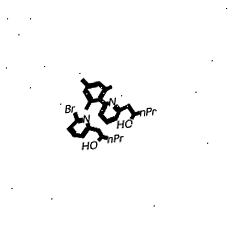 CCCC(O)Cc1cccc(-c2c(C)cc(C)cc2C)n1.CCCC(O)Cc1cccc(Br)n1